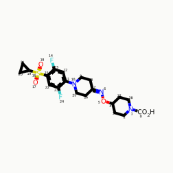 O=C(O)N1CCC(ON=C2CCN(c3cc(F)c(S(=O)(=O)C4CC4)cc3F)CC2)CC1